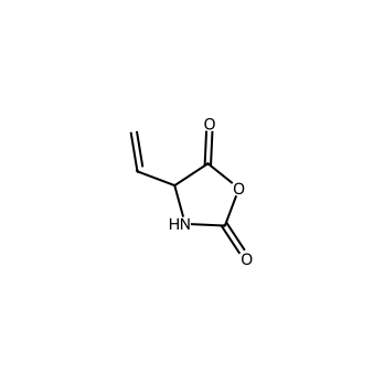 C=CC1NC(=O)OC1=O